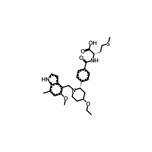 CCO[C@H]1CCN(Cc2c(OC)cc(C)c3[nH]ccc23)[C@H](c2ccc(C(=O)N[C@@H](CCSC)C(=O)O)cc2)C1